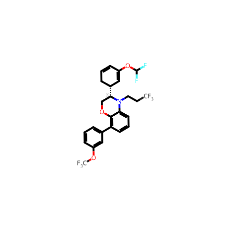 FC(F)OC1=CC([C@H]2COc3c(-c4cccc(OC(F)(F)F)c4)cccc3N2CCC(F)(F)F)CC=C1